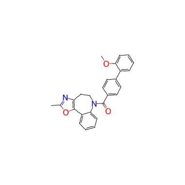 COc1ccccc1-c1ccc(C(=O)N2CCc3nc(C)oc3-c3ccccc32)cc1